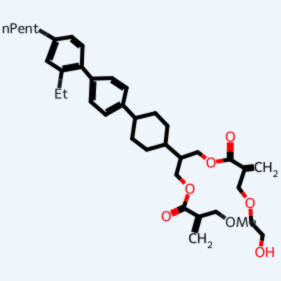 C=C(COC)C(=O)OCC(COC(=O)C(=C)COCCO)C1CCC(c2ccc(-c3ccc(CCCCC)cc3CC)cc2)CC1